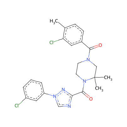 Cc1ccc(C(=O)N2CCN(C(=O)c3ncn(-c4cccc(Cl)c4)n3)C(C)(C)C2)cc1Cl